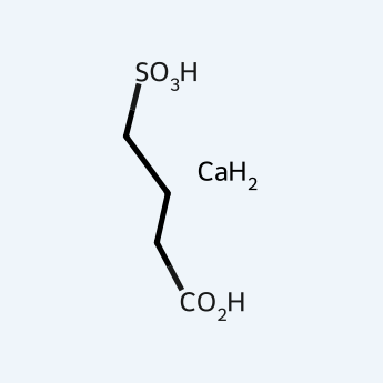 O=C(O)CCCS(=O)(=O)O.[CaH2]